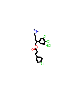 CN(C)CCCC(COC(=O)/C=C/c1ccc(Cl)cc1)c1ccc(Cl)c(Cl)c1.Cl